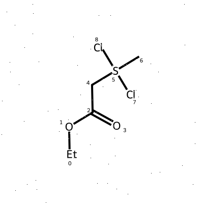 CCOC(=O)CS(C)(Cl)Cl